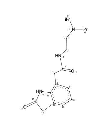 CC(C)N(CCNC(=O)Cc1cccc2c1NC(=O)C2)C(C)C